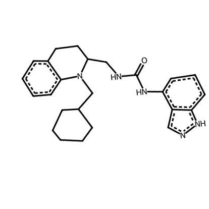 O=C(NCC1CCc2ccccc2N1CC1CCCCC1)Nc1cccc2[nH]ncc12